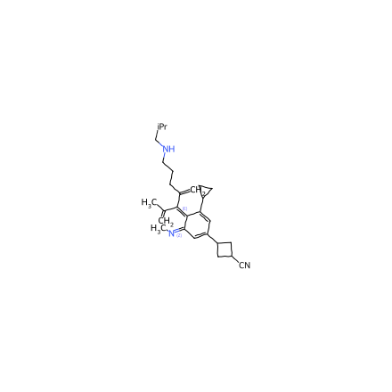 C=C(C)/C(C(=C)CCCNCC(C)C)=C1/C(C2CC2)=CC(C2CC(C#N)C2)=C/C1=N/C